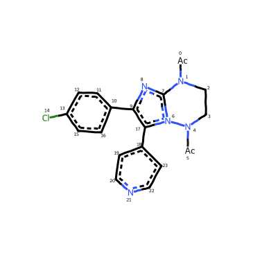 CC(=O)N1CCN(C(C)=O)n2c1nc(-c1ccc(Cl)cc1)c2-c1ccncc1